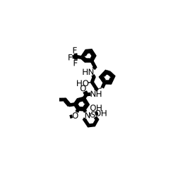 CC=Cc1cc(C(=O)N[C@@H](Cc2ccccc2)[C@H](O)CNCc2cccc(C(F)(F)F)c2)cc(N2CCCCS2(O)O)c1OC